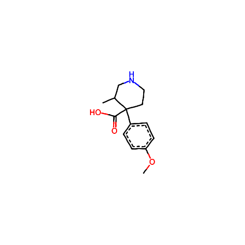 COc1ccc(C2(C(=O)O)CCNCC2C)cc1